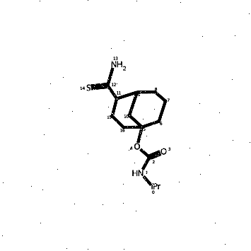 CC(C)NC(=O)OC12CCCC(C1)C(C(N)=S)CC2